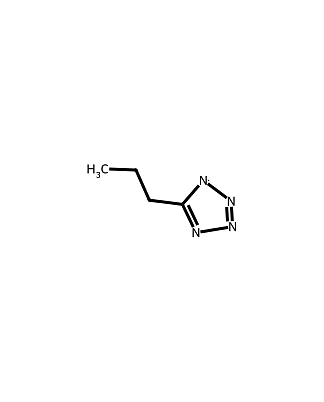 CCCC1=NN=N[N]1